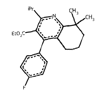 CCOC(=O)c1c(C(C)C)nc2c(c1-c1ccc(F)cc1)CCCC2(C)C